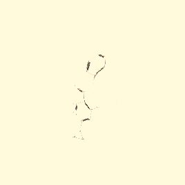 O=C(O)c1cc(C2CC2)nc2onc(Oc3ccccc3)c12